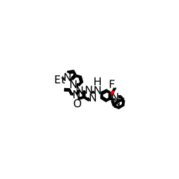 C=CCn1c(=O)c2cnc(Nc3ccc(N4CC5CCC4CN(CCF)C5)cc3)nc2n1-c1ccc2ccn(CC)c2n1